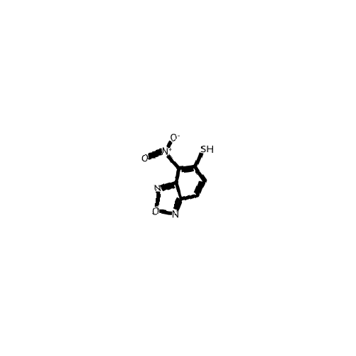 O=[N+]([O-])c1c(S)ccc2nonc12